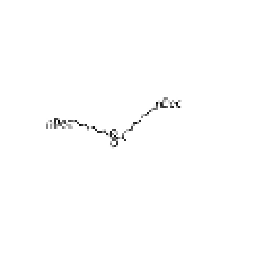 CCCCCCCCCCCCCCCCCCOC(=O)C(C)CCCCCCCCCCCCCCCCCC